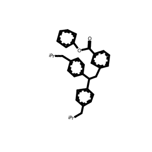 CC(C)Cc1ccc(C(Cc2cccc(C(=O)Oc3ccccc3)c2)c2ccc(CC(C)C)cc2)cc1